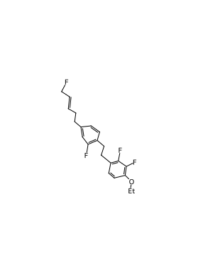 CCOc1ccc(CCc2ccc(CCC=CCF)cc2F)c(F)c1F